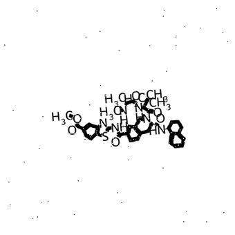 CN[C@@H](C)C(=O)N[C@H](C(=O)N1Cc2cc(C(=O)Nc3nc4cc(C(=O)OC)ccc4s3)ccc2C[C@H]1C(=O)N[C@@H]1CCCc2ccccc21)C(C)(C)C